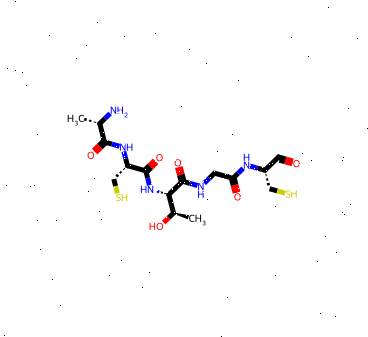 C[C@H](N)C(=O)N[C@@H](CS)C(=O)N[C@H](C(=O)NCC(=O)N[C@H]([C]=O)CS)[C@@H](C)O